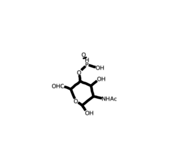 CC(=O)NC1C(O)OC(C=O)C(O[PH](=O)O)C1O